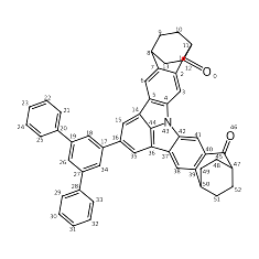 O=C1c2cc3c(cc2C2CCC1CC2)c1cc(-c2cc(-c4ccccc4)cc(-c4ccccc4)c2)cc2c4cc5c(cc4n3c12)C(=O)C1CCC5CC1